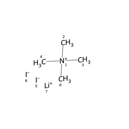 C[N+](C)(C)C.[I-].[I-].[Li+]